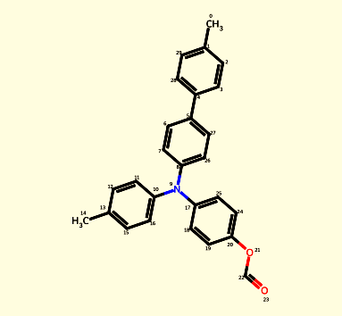 Cc1ccc(-c2ccc(N(c3ccc(C)cc3)c3ccc(OC=O)cc3)cc2)cc1